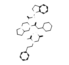 C[C@@H](C(=O)N[C@H](C(=O)N1C[C@H]2CCCN2C[C@H]1C(=O)NN1CCc2ccccc21)C1CCCCC1)N(CCc1ccccc1)C(=O)O